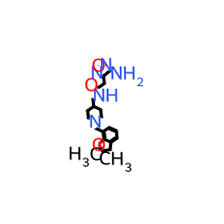 CC1(C)Cc2cccc(CN3CCC(CNC(=O)Cc4nonc4N)CC3)c2O1